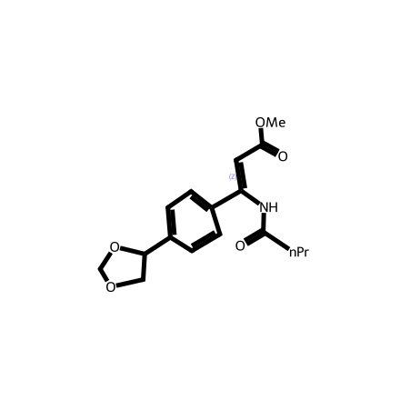 CCCC(=O)N/C(=C\C(=O)OC)c1ccc(C2COCO2)cc1